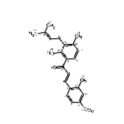 COc1ccc(/C=C/C(=O)c2ccc(O)c(CC=C(C)C)c2O)c(O)c1